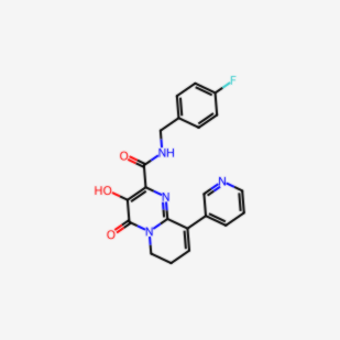 O=C(NCc1ccc(F)cc1)c1nc2n(c(=O)c1O)CCC=C2c1cccnc1